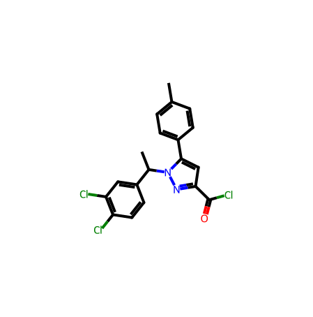 Cc1ccc(-c2cc(C(=O)Cl)nn2C(C)c2ccc(Cl)c(Cl)c2)cc1